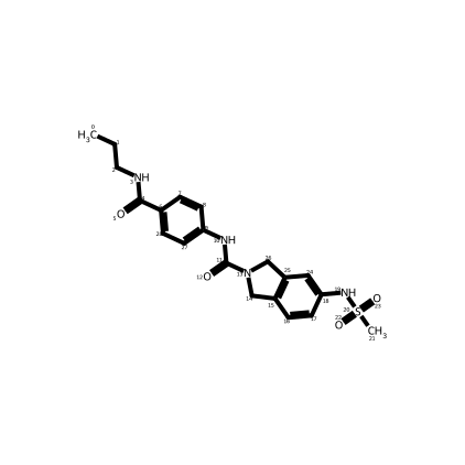 CCCNC(=O)c1ccc(NC(=O)N2Cc3ccc(NS(C)(=O)=O)cc3C2)cc1